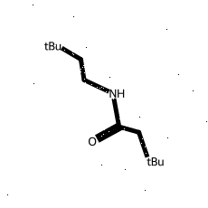 CC(C)(C)CCNC(=O)CC(C)(C)C